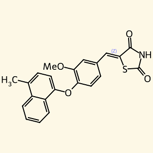 COc1cc(/C=C2\SC(=O)NC2=O)ccc1Oc1ccc(C)c2ccccc12